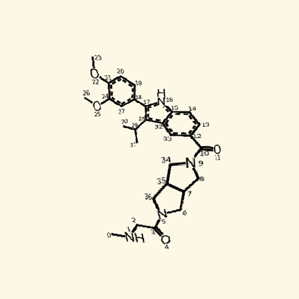 CNCC(=O)N1CC2CN(C(=O)c3ccc4[nH]c(-c5ccc(OC)c(OC)c5)c(C(C)C)c4c3)CC2C1